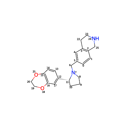 c1cc2c(cc1CN1CCC[C@@H]1c1ccc3c(c1)OCCO3)CCNC2